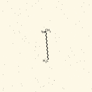 [2H]C(=C)CCCCCCCCCCCCCCCC